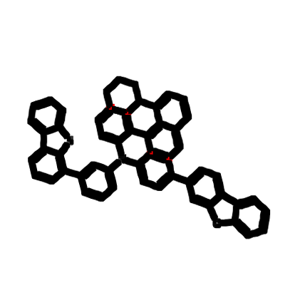 c1cc(-c2cccc3c2sc2ccccc23)cc(N(c2ccc(-c3ccc4c(c3)oc3ccccc34)cc2)c2ccccc2-c2cccc3cccc(C4CCCCC4)c23)c1